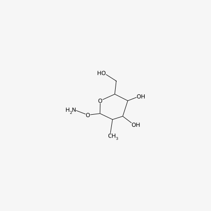 CC1C(ON)OC(CO)C(O)C1O